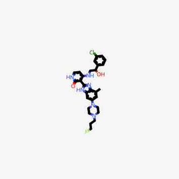 Cc1cc(N2CCN(CCCF)CC2)cc2[nH]c(-c3c(NCC(O)c4cccc(Cl)c4)cc[nH]c3=O)nc12